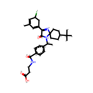 CC1=CC(F)CC(C2=NC3(CCC(C(C)(C)C)CC3)N(C(C)c3ccc(C(=O)NCCC(=O)O)cc3)C2=O)=C1